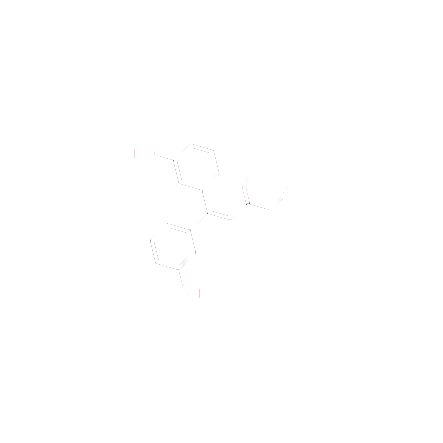 C=CC(=O)C=C(c1cccc(O)c1)c1cccc(O)c1